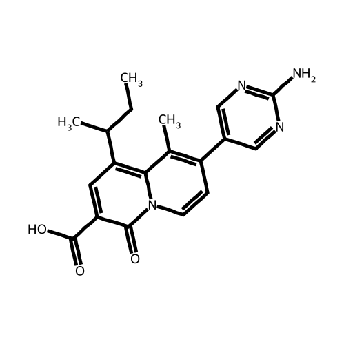 CCC(C)c1cc(C(=O)O)c(=O)n2ccc(-c3cnc(N)nc3)c(C)c12